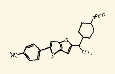 CCCCCC1CCC(C(C)c2cc3sc(-c4ccc(C#N)cc4)cc3s2)CC1